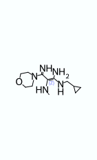 CN/C(C(=N)N1CCOCC1)=C(/N)NCC1CC1